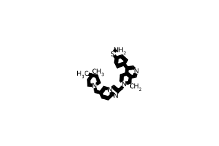 C=C1c2cncc(-c3ccc(SN)cc3)c2C=CN1Cc1cn2cc(CN3CCC(C)(C)CC3)ccc2n1